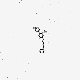 CC(C)(C)c1nc(CCCOCc2ccccc2)ccc1C1=CCNCC1